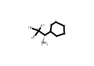 N[C@@H](C1CCCCC1)C(F)(F)F